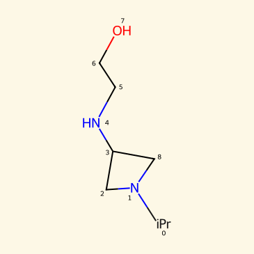 CC(C)N1CC(NCCO)C1